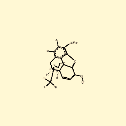 [2H]OC1C=C[C@H]2[C@H]3Cc4c([2H])c([2H])c(OC)c5c4[C@@]2(CCN3C([2H])([2H])[2H])C1O5